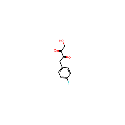 O=C(CO)C(=O)Cc1ccc(F)cc1